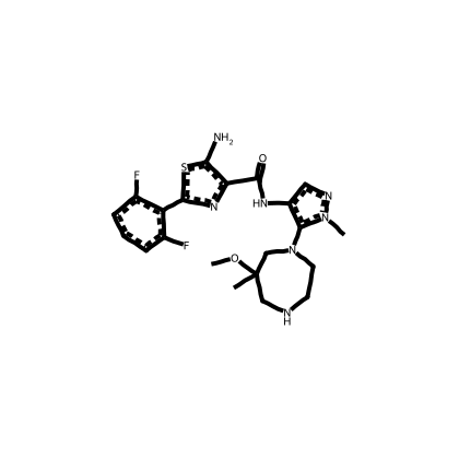 COC1(C)CNCCN(c2c(NC(=O)c3nc(-c4c(F)cccc4F)sc3N)cnn2C)C1